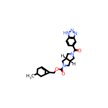 CC1CC=C2C(COC(=O)N3C[C@@H]4CN(C(=O)c5ccc6[nH]nnc6c5)C[C@@H]4C3)C2C1